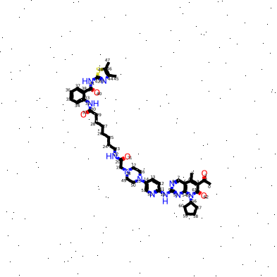 CC(=O)c1c(C)c2cnc(Nc3ccc(N4CCN(CC(=O)NCCCCCCCC(=O)Nc5ccccc5C(=O)Nc5nc(C)c(C)s5)CC4)cn3)nc2n(C2CCCC2)c1=O